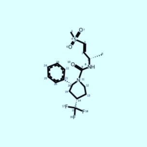 C[C@@H](/C=C/S(C)(=O)=O)NC(=O)N1CC[C@H](C(F)(F)F)C[C@@H]1c1ccccc1